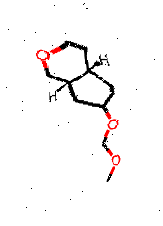 COCOC1C[C@H]2CCOC[C@H]2C1